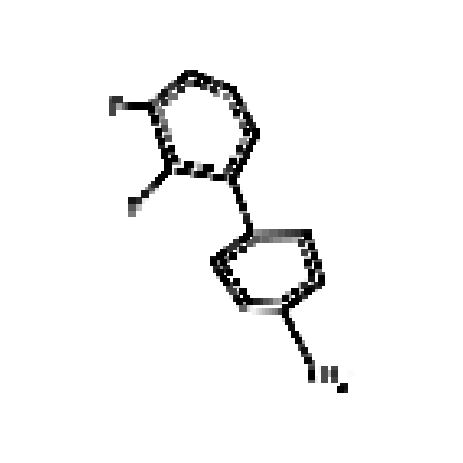 [CH2]c1ccc(-c2cccc(F)c2F)cc1